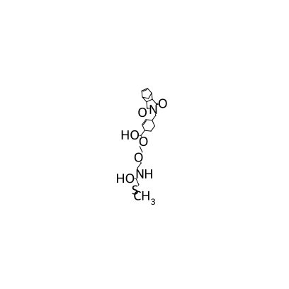 CSCC(O)NCCOCCOC(O)C1C=CC(CN2C(=O)C3C4C=CC(C4)C3C2=O)CC1